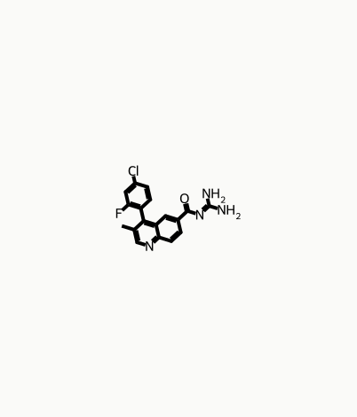 Cc1cnc2ccc(C(=O)N=C(N)N)cc2c1-c1ccc(Cl)cc1F